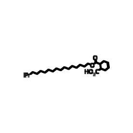 CC(C)CCCCCCCCCCCCCCCOC(=O)C1CC=CCC1C(=O)O